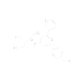 C[C@@H](CO)n1cnc2c(-c3cccnc3)nc(-c3ccc(O)cc3)cc2c1=O